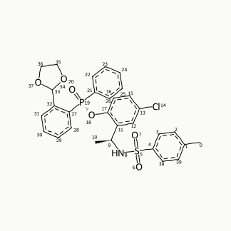 Cc1ccc(S(=O)(=O)N[C@@H](C)c2cc(Cl)ccc2O[P@](=O)(c2ccccc2)c2ccccc2C2OCCO2)cc1